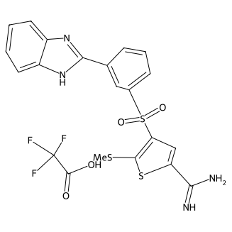 CSc1sc(C(=N)N)cc1S(=O)(=O)c1cccc(-c2nc3ccccc3[nH]2)c1.O=C(O)C(F)(F)F